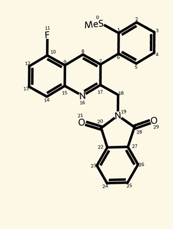 CSc1ccccc1-c1cc2c(F)cccc2nc1CN1C(=O)c2ccccc2C1=O